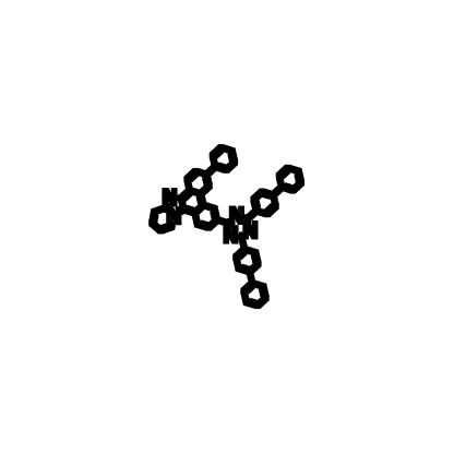 c1ccc(-c2ccc(-c3nc(-c4ccc(-c5ccccc5)cc4)nc(-c4ccc5c(c4)c4cc(-c6ccccc6)ccc4c4nc6ccccn6c54)n3)cc2)cc1